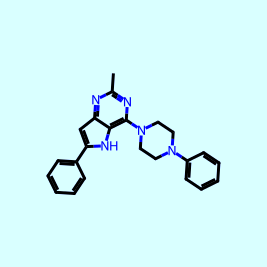 Cc1nc(N2CCN(c3ccccc3)CC2)c2[nH]c(-c3ccccc3)cc2n1